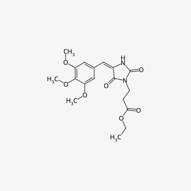 CCOC(=O)CCN1C(=O)NC(=Cc2cc(OC)c(OC)c(OC)c2)C1=O